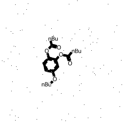 CCCCOc1ccc(OC(=O)CCCC)c(OC(=O)CCCC)c1